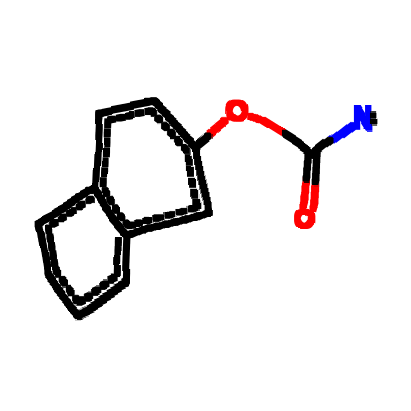 [N]C(=O)Oc1ccc2ccccc2c1